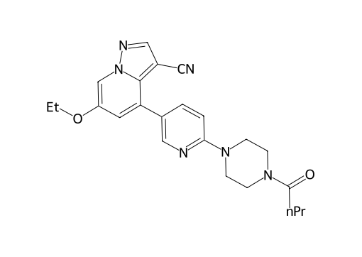 CCCC(=O)N1CCN(c2ccc(-c3cc(OCC)cn4ncc(C#N)c34)cn2)CC1